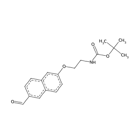 CC(C)(C)OC(=O)NCCOc1ccc2cc(C=O)ccc2c1